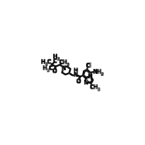 Cc1cn2c(N)c(Cl)cc(C(=O)NCC3CCN(C(C)C(=O)C(C)(C)C)CC3)c2n1